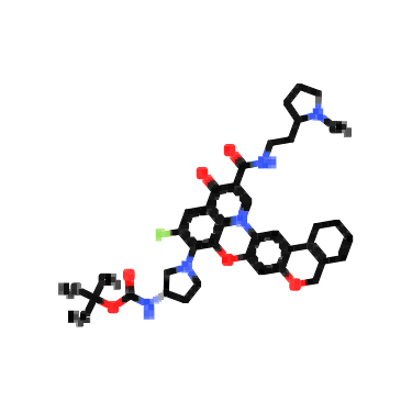 CN1CCCC1CCNC(=O)c1cn2c3c(c(N4CC[C@H](NC(=O)OC(C)(C)C)C4)c(F)cc3c1=O)Oc1cc3c(cc1-2)C1=C(C=CCC1)CO3